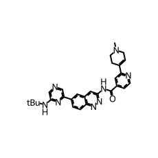 CN1CC=C(c2cc(C(=O)Nc3cc4cc(-c5cncc(NC(C)(C)C)n5)ccc4nn3)ccn2)CC1